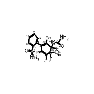 COC1(F)C(F)=C(F)C(c2ccccc2S(N)(=O)=O)=C(F)C1(F)NC(N)=O